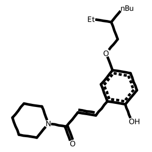 CCCCC(CC)COc1ccc(O)c(/C=C/C(=O)N2CCCCC2)c1